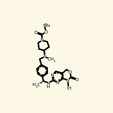 CCN1C(=O)OCc2cnc(N[C@@H](C)c3ccc(CN(C)C4CCN(C(=O)OC(C)(C)C)CC4)cc3)nc21